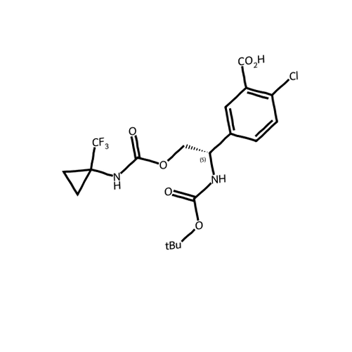 CC(C)(C)OC(=O)N[C@H](COC(=O)NC1(C(F)(F)F)CC1)c1ccc(Cl)c(C(=O)O)c1